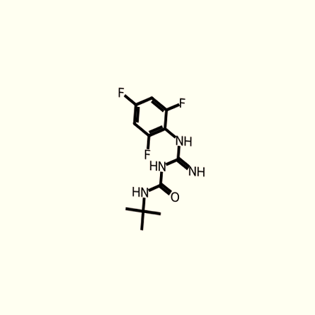 CC(C)(C)NC(=O)NC(=N)Nc1c(F)cc(F)cc1F